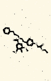 CCOC(=O)COc1ccc(CCN(CCCc2ccccc2)C(=O)c2cc(OC)c(C)c(OC)c2)cc1